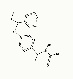 CCC(Oc1ccc(C(C)N(O)C(N)=O)cc1)c1ccccc1